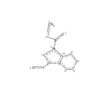 C=CC(=O)n1cc(C=O)c2ccccc21